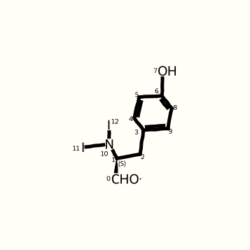 O=[C][C@H](Cc1ccc(O)cc1)N(I)I